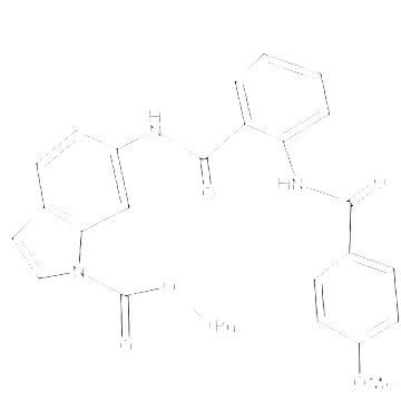 COc1ccc(C(=O)Nc2ccccc2C(=O)Nc2ccc3ccn(C(=O)OC(C)(C)C)c3c2)cc1